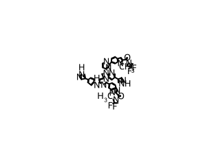 Cn1c(C(=O)N2CC(F)(F)C2)cc2ccc(-c3nccc(N(Cc4cc(Nc5ccc(-c6cn[nH]c6)cc5)nc(-c5ccc6nc(C(=O)N7CC(F)(F)C7)n(C)c6c5)n4)c4ccc(-c5cn[nH]c5)cn4)n3)cc21